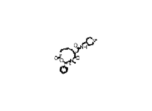 C[C@H]1[C@@H](c2ccccc2)OC(=O)CCC=CC[C@@H](CC(=O)NCC2CCN(C)CC2)C(=O)N1C